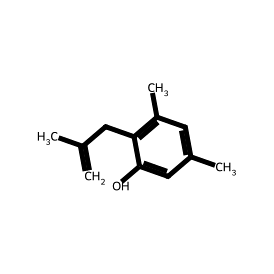 C=C(C)Cc1c(C)cc(C)cc1O